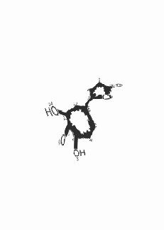 O=c1c(O)ccc(-c2ccco2)cc1O